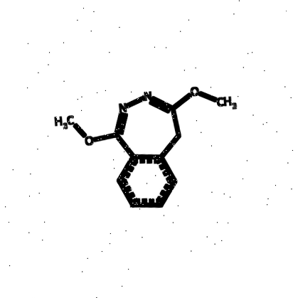 COC1=NN=C(OC)c2ccccc2C1